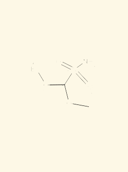 CCOC(OCC)S(N)(=O)=O